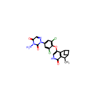 CC1c2c(c(Oc3c(Cl)cc(-n4ncc(=O)n(N)c4=O)cc3Cl)c[nH]c2=O)C2CC1C2